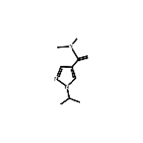 C=C(c1cnn(C(C)C)c1)N(C)C